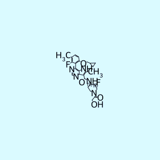 Cc1ccc(OCC2CC2)c(-c2ncnc3c(C(=O)N[C@H]4CCN(C(=O)CO)C[C@H]4F)c(C)[nH]c23)c1F